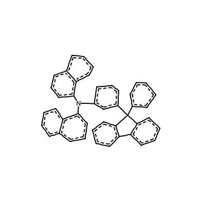 c1ccc(C2(c3cccc(N(c4cccc5ccccc45)c4cccc5ccccc45)c3)c3ccccc3-c3ccccc32)cc1